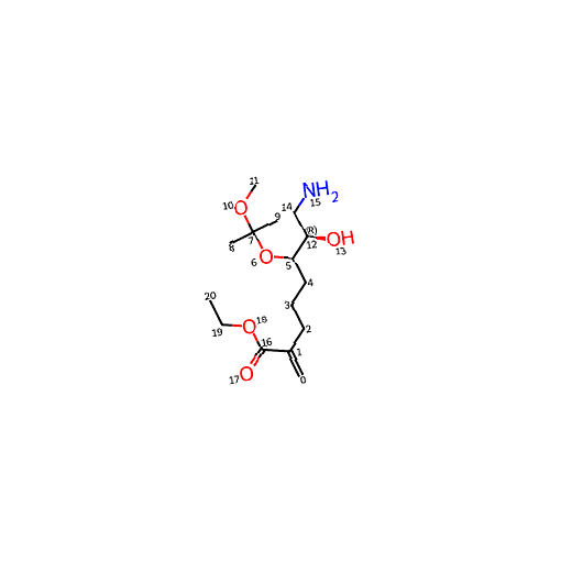 C=C(CCCC(OC(C)(C)OC)[C@H](O)CN)C(=O)OCC